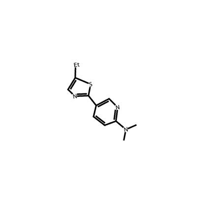 CCc1cnc(-c2ccc(N(C)C)nc2)s1